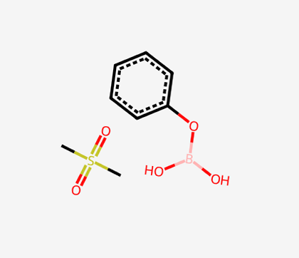 CS(C)(=O)=O.OB(O)Oc1ccccc1